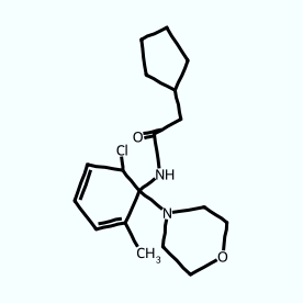 CC1=CC=CC(Cl)C1(NC(=O)CC1CCCC1)N1CCOCC1